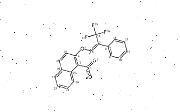 O=[SH](=O)c1c(ON=C(c2ccccc2)C(F)(F)F)ccc2ccccc12